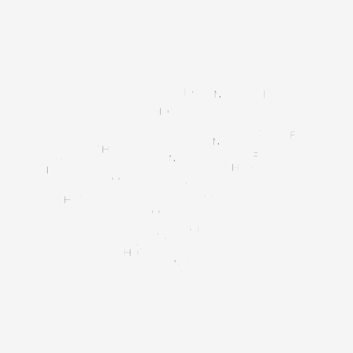 C/N=C(\N(C)C(C)N(C(=O)OC(C)(C)C)C(=O)OC(C)(C)C)C(F)(F)F